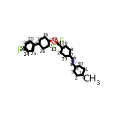 CC1CCC(/C=C/C2CCC(C(F)(F)OC3CCC(c4ccc(F)cc4)CC3)CC2)CC1